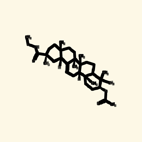 CONC(=O)[C@@]1(C)CC[C@]2(C)CC[C@]3(C)C(=CC[C@@H]4[C@@]5(C)CC[C@H](OC(C)=O)C(C)(C)C5CC[C@]43C)[C@@H]2C1